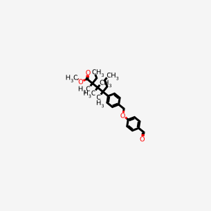 CCCC(C)(c1ccc(COc2ccc(C=O)cc2)cc1)C(C)(C)C(C)(CC)C(=O)OC